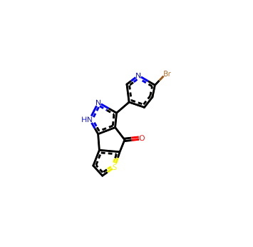 O=C1c2sccc2-c2[nH]nc(-c3ccc(Br)nc3)c21